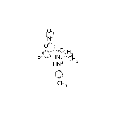 Cc1ccc(NC[C@@H](NC(=O)[C@@H](CC(=O)N2CCOCC2)c2ccc(F)cc2)C(C)C)cc1